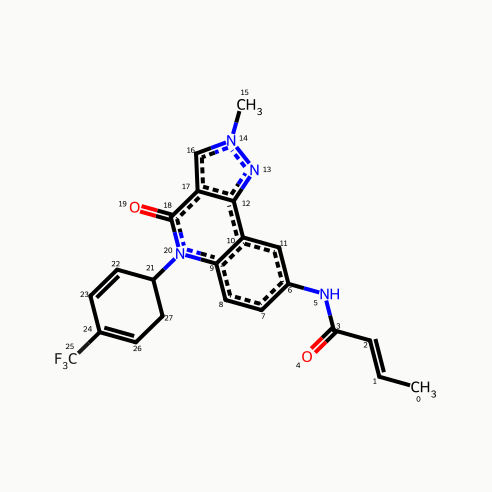 C/C=C/C(=O)Nc1ccc2c(c1)c1nn(C)cc1c(=O)n2C1C=CC(C(F)(F)F)=CC1